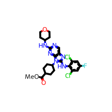 COC(=O)C1CCC(n2c(Nc3c(Cl)cc(F)cc3Cl)nc3cnc(NC4CCOCC4)nc32)CC1